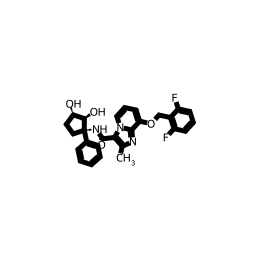 Cc1nc2c(OCc3c(F)cccc3F)cccn2c1C(=O)N[C@]1(c2ccccc2)CC[C@H](O)[C@H]1O